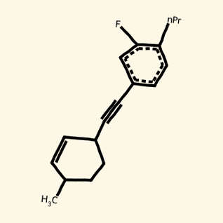 CCCc1ccc(C#CC2C=CC(C)CC2)cc1F